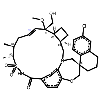 CO[C@@]1(CO)/C=C/C[C@H](C)[C@@H](C)S(=O)(=O)NC(=O)c2ccc3c(c2)N(C[C@@H]2CC[C@H]21)C[C@@]1(CCCc2cc(Cl)ccc21)CO3